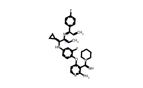 C=C/C(=N\C(=C/C)C(Nc1ccc(Oc2ccnc(P)c2C(=N)N2CCCCC2)c(F)c1)=C1CC1)c1ccc(F)cc1